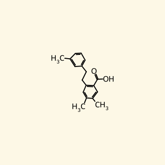 Cc1cccc(CCc2cc(C)c(C)cc2C(=O)O)c1